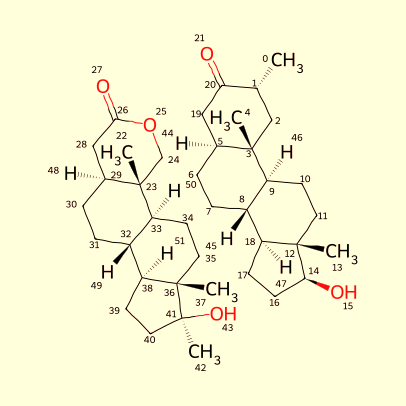 C[C@@H]1C[C@@]2(C)[C@@H](CC[C@@H]3[C@@H]2CC[C@]2(C)[C@@H](O)CC[C@@H]32)CC1=O.C[C@]12COC(=O)C[C@@H]1CC[C@@H]1[C@@H]2CC[C@@]2(C)[C@H]1CC[C@]2(C)O